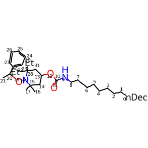 CCCCCCCCCCCCCCCCCCNC(=O)OC1CC(C)(C)N(OC(C)c2ccccc2)C(CC)(CC)C1